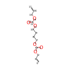 C=CCOC(=O)OCCCCOC(=O)OCC=C